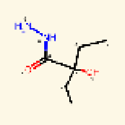 CCC(O)(CC)C(=O)NN